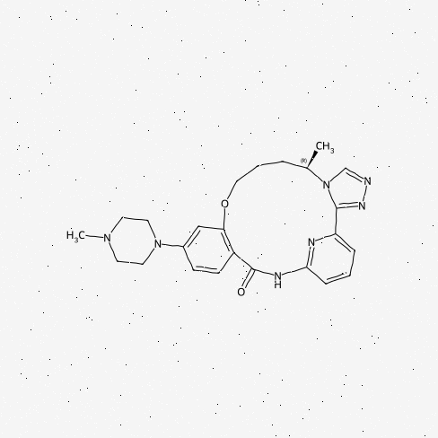 C[C@@H]1CCCOc2cc(N3CCN(C)CC3)ccc2C(=O)Nc2cccc(n2)-c2nncn21